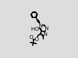 Cc1nc2ncn(C#Cc3ccccc3)c(O)c-2c1COC(=O)C(C)(C)C